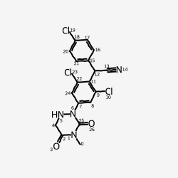 CN1C(=O)CNN(c2cc(Cl)c(C(C#N)c3ccc(Cl)cc3)c(Cl)c2)C1=O